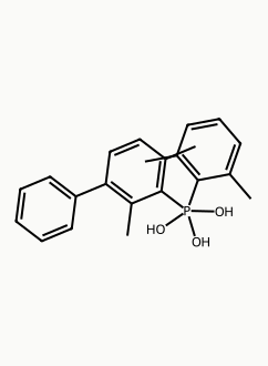 Cc1cccc(C)c1P(O)(O)(O)c1c(C)ccc(-c2ccccc2)c1C